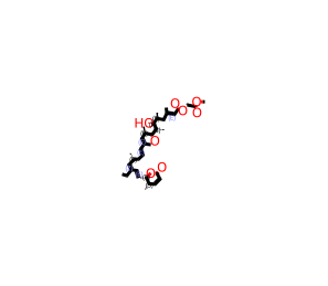 CCC(=C/[C@H](C)C/C=C/C(C)=C/[C@@H](C)C(=O)[C@@H](C)[C@H](O)[C@@H](C)C/C(C)=C/C(=O)OCC(=O)OC)/C=C/[C@@H]1OC(=O)C=C[C@@H]1C